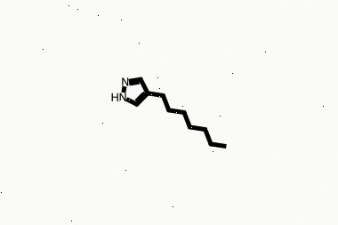 CCCCCCCc1cn[nH]c1